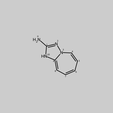 NC1=NN2C=CC=CC=C2N1